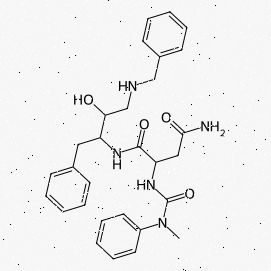 CN(C(=O)NC(CC(N)=O)C(=O)NC(Cc1ccccc1)C(O)CNCc1ccccc1)c1ccccc1